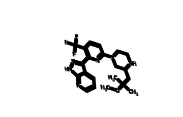 COC(C)(C)CC1CN(c2ccc(C(F)(F)F)c(-c3n[nH]c4ncccc34)n2)CCN1